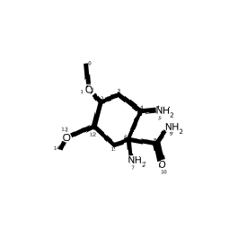 COC1CC(N)C(N)(C(N)=O)CC1OC